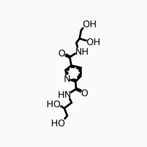 O=C(NCC(O)CO)c1ccc(C(=O)NCC(O)CO)nc1